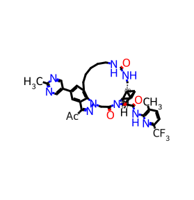 CC(=O)c1nn2c3c(cc(-c4cnc(C)nc4)cc13)CCCCCNC(=O)NC[C@]13C4C1[C@H]3N(C(=O)C2)[C@@H]4C(=O)Nc1nc(C(F)(F)F)ccc1C